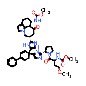 COCC[C@H](NC(=O)OC)C(=O)N1CCC[C@H]1c1ncc(C2(c3cnc([C@H]4CC(=O)C5c6c(ccn6C4)CC[C@@H]5NC(=O)OC)[nH]3)C=CC(c3ccccc3)=CC2)[nH]1